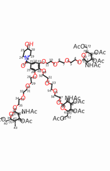 CC(=O)N[C@H]1[C@H](OCCOCCOCCOc2cc(C(=O)N3CCC(O)CC3)cc(OCCOCCOCCO[C@@H]3O[C@H](COC(C)=O)[C@H](C)[C@H](OC(C)=O)[C@H]3NC(C)=O)c2OCCOCCOCCO[C@@H]2O[C@H](COC(C)=O)[C@H](OC(C)=O)[C@H](OC(C)=O)[C@H]2NC(C)=O)O[C@H](COC(C)=O)[C@H](OC(C)=O)[C@@H]1OC(C)=O